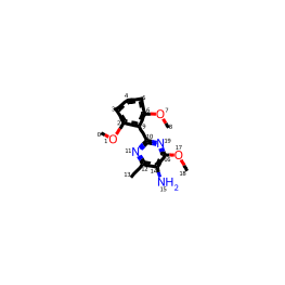 COc1cccc(OC)c1-c1nc(C)c(N)c(OC)n1